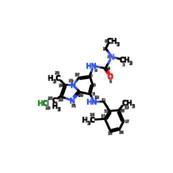 CCN(C)C(=O)Nc1cc(NCc2c(C)cccc2C)c2nc(C)c(C)n2c1.Cl